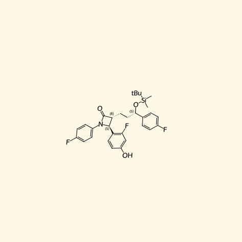 CC(C)(C)[Si](C)(C)O[C@@H](CC[C@H]1C(=O)N(c2ccc(F)cc2)[C@@H]1c1ccc(O)cc1F)c1ccc(F)cc1